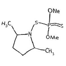 COP(=S)(OC)SN1C(C)CCC1C